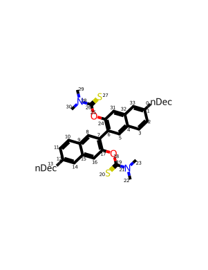 CCCCCCCCCCc1ccc2cc(-c3cc4ccc(CCCCCCCCCC)cc4cc3OC(=S)N(C)C)c(OC(=S)N(C)C)cc2c1